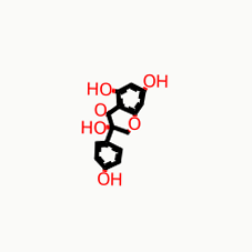 O=C1c2c(O)cc(O)cc2OCC1(O)c1ccc(O)cc1